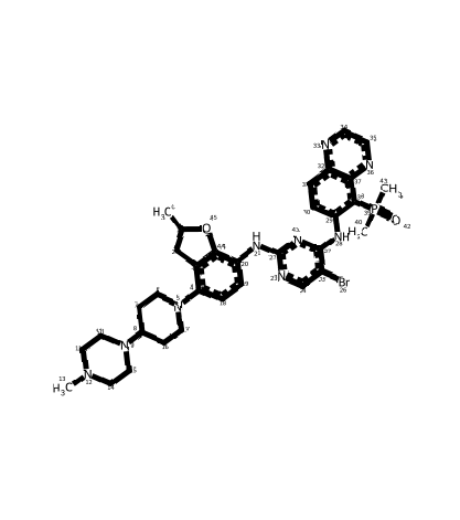 CC1Cc2c(N3CCC(N4CCN(C)CC4)CC3)ccc(Nc3ncc(Br)c(Nc4ccc5nccnc5c4P(C)(C)=O)n3)c2O1